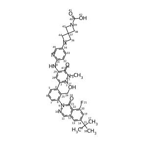 Cn1nc(-c2cccc(-n3ncc4cc(C(C)(C)C)cc(F)c4c3=O)c2CO)cc(Nc2ccc(N3CC4(CN(C(=O)O)C4)C3)cn2)c1=O